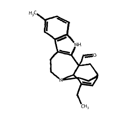 CCC1=CC2CN3CCc4c([nH]c5ccc(C)cc45)C(C=O)(C2)C13